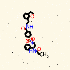 C=CC(=O)NC1CCN(S(=O)(=O)c2ccc(C(=O)NCCc3cccc4c3OCC4)cc2)c2ccccc21